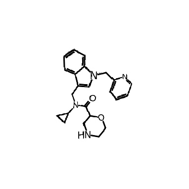 O=C(C1CNCCO1)N(Cc1cn(Cc2ccccn2)c2ccccc12)C1CC1